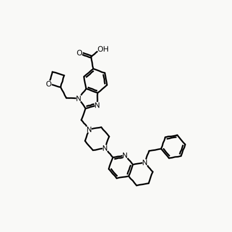 O=C(O)c1ccc2nc(CN3CCN(c4ccc5c(n4)N(Cc4ccccc4)CCC5)CC3)n(CC3CCO3)c2c1